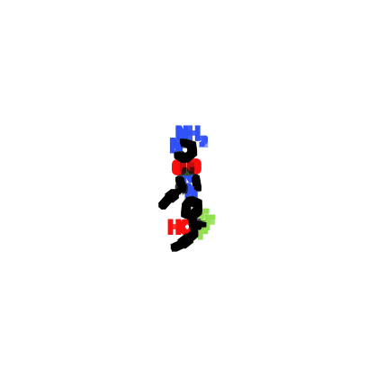 CC#CC[C@](O)(c1ccc(N2CCN(S(=O)(=O)c3ccc(N)nc3)C[C@@H]2C#CC)cc1)C(F)(F)F